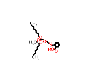 CCCCCCCCOC(COCCOC(=O)c1ccccc1C(=O)O)(OCC)OCCCCCCCC